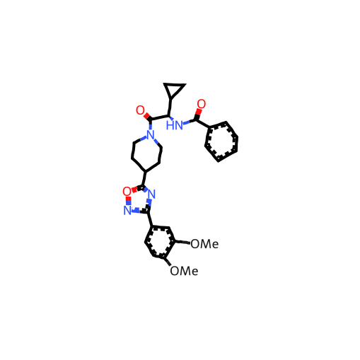 COc1ccc(-c2noc(C3CCN(C(=O)[C@H](NC(=O)c4ccccc4)C4CC4)CC3)n2)cc1OC